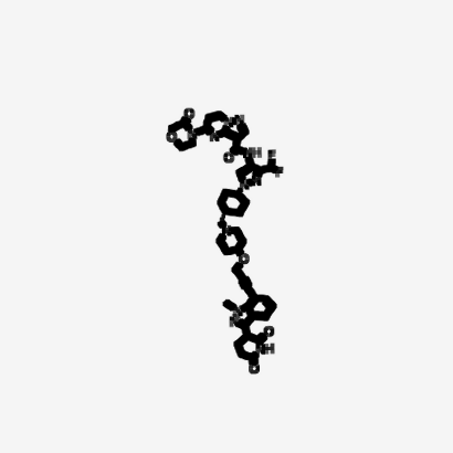 Cn1nc(C2CCC(=O)NC2=O)c2cccc(C#CCOC3CCN(C[C@H]4CC[C@H](n5cc(NC(=O)c6cnn7ccc(N8CCOCC8=O)nc67)c(C(F)F)n5)CC4)CC3)c21